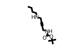 CCCCNCC#CCNC(=O)OC(C)(C)C